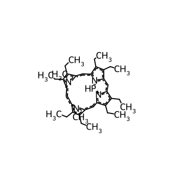 CCc1c(CC)c2cc3c(CC)c(CC)c4cc5c(CC)c(CC)c(cc6c(CC)c(CC)c(cc1n2C)n6C)n5[pH]n34